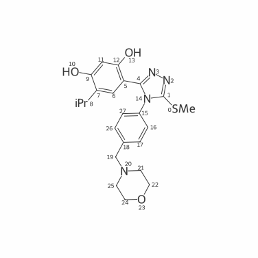 CSc1nnc(-c2cc(C(C)C)c(O)cc2O)n1-c1ccc(CN2CCOCC2)cc1